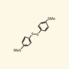 CSc1ccc(SSc2ccc(SC)cc2)cc1